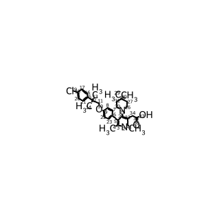 Cc1nc(C)c(-c2ccc(OCC(C)(C)c3ccc(Cl)cc3)cc2)c(N2CCC(C)(C)CC2)c1CC(=O)O